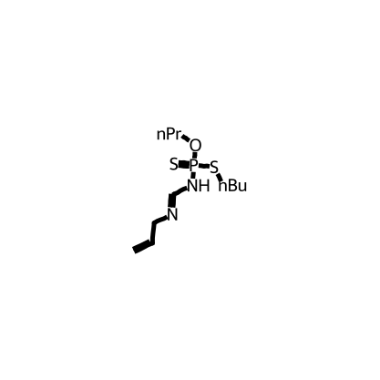 C=CCN=CNP(=S)(OCCC)SCCCC